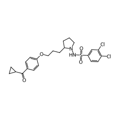 O=C(c1ccc(OCCCC2CCCN2NS(=O)(=O)c2ccc(Cl)c(Cl)c2)cc1)C1CC1